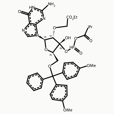 CCOC(=O)CO[C@H]1[C@H](n2cnc3c(=O)[nH]c(N)nc32)O[C@H](COC(c2ccccc2)(c2ccc(OC)cc2)c2ccc(OC)cc2)[C@@]1(O)O[PH](=O)OC(=O)C(C)C